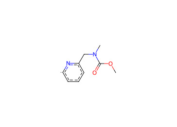 COC(=O)N(C)Cc1ccc[c]n1